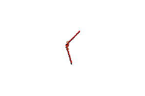 CCCCCCCCCCCCCCCCCCSC1CCC(C(C)SCCCCCCCCCCCCCCCCCC)CC1